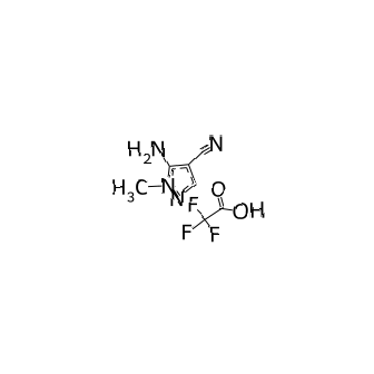 Cn1ncc(C#N)c1N.O=C(O)C(F)(F)F